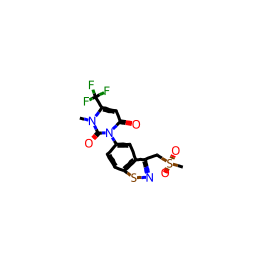 Cn1c(C(F)(F)F)cc(=O)n(-c2ccc3snc(CS(C)(=O)=O)c3c2)c1=O